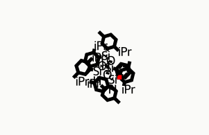 CC1CCC(C(C)C)C([SiH](O[Si](O[SiH](C2CC(C)CCC2C(C)C)C2CC(C)CCC2C(C)C)(O[SiH](C2CC(C)CCC2C(C)C)C2CC(C)CCC2C(C)C)c2ccccc2)C2CC(C)CCC2C(C)C)C1